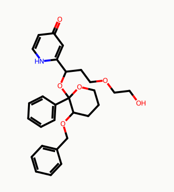 O=c1cc[nH]c(C(CCOCCO)OC2(c3ccccc3)OCCCC2OCc2ccccc2)c1